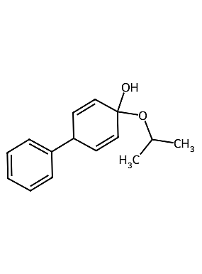 CC(C)OC1(O)C=CC(c2ccccc2)C=C1